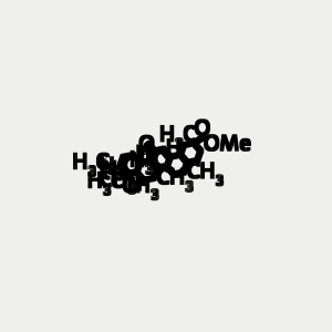 COC(=O)[C@@]1(C)CC[C@]2(C)CC[C@]3(C)C(=CC(=O)[C@H]4[C@@]5(C)CC[C@H](N(C)C)C(C)(C)[C@H]5CC[C@@]43C)[C@H]2C1